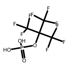 O=P(O)(O)OC(C(F)(F)F)(C(F)(F)F)C(F)(F)F